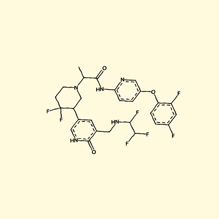 CC(C(=O)Nc1ccc(Oc2ccc(F)cc2F)cn1)N1CCC(F)(F)C(c2c[nH]c(=O)c(CNC(F)C(F)F)c2)C1